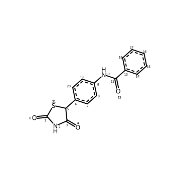 O=C1NC(=O)C(c2ccc(NC(=O)c3ccccc3)cc2)S1